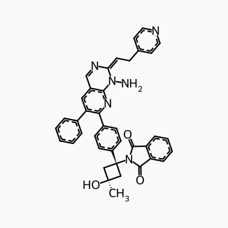 C[C@]1(O)C[C@](c2ccc(-c3nc4c(cc3-c3ccccc3)C=N/C(=C/Cc3ccncc3)N4N)cc2)(N2C(=O)c3ccccc3C2=O)C1